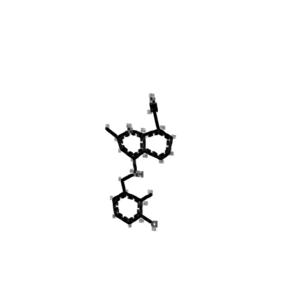 Cc1cc(NCc2cccc(Cl)c2C)c2cccc(C#N)c2n1